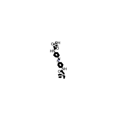 CC[N+](CC)(CC)CC(=O)Nc1ccc(/N=N/c2ccc(NC(=O)CS(=O)(=O)O)cc2)cc1